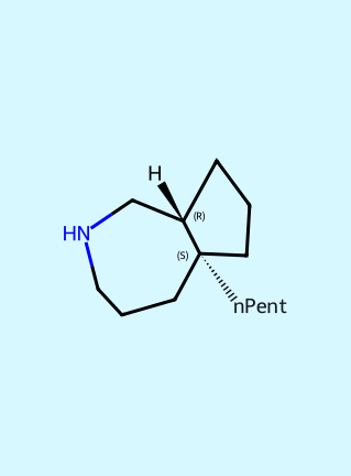 CCCCC[C@]12CCCNC[C@@H]1CCC2